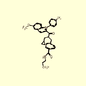 O=C(O)CCNC(=O)c1ccc(CC(CC2CC2)C(=O)c2cc3cc(OC(F)(F)F)ccc3n2-c2ccc(C(F)(F)F)cc2)cc1